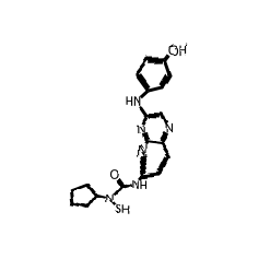 O=C(Nc1ccc2ncc(Nc3ccc(O)cc3)nc2n1)N(S)C1CCCC1